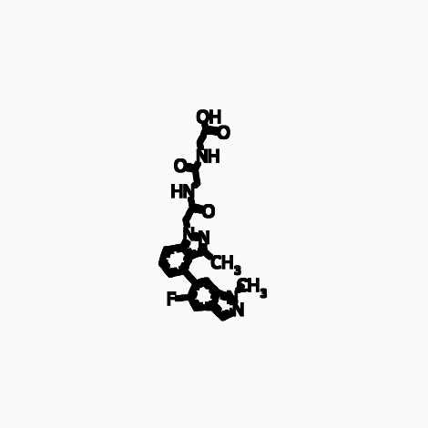 Cc1nn(CC(=O)NCC(=O)NCC(=O)O)c2cccc(-c3cc4c(cnn4C)cc3F)c12